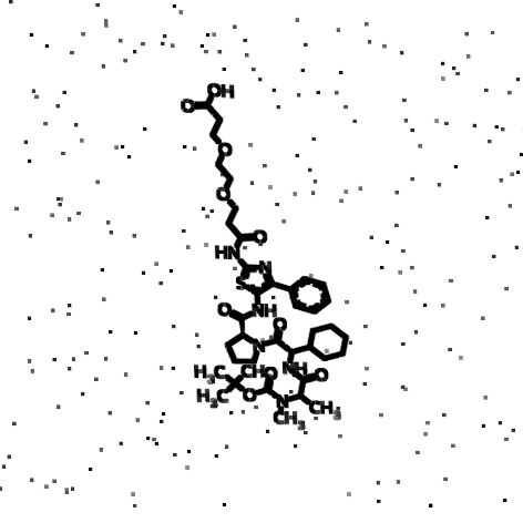 CC(C(=O)NC(C(=O)N1CCC[C@H]1C(=O)Nc1sc(NC(=O)CCOCCOCCC(=O)O)nc1-c1ccccc1)C1CCCCC1)N(C)C(=O)OC(C)(C)C